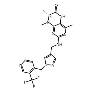 Cc1nc(NCc2cnn(Cc3ccncc3C(F)(F)F)c2)nc2c1NC(=O)[C@@H](C)N2C